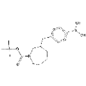 CC(C)(C)OC(=O)N1CCCCC(Cc2ccc(B(O)O)cc2)C1